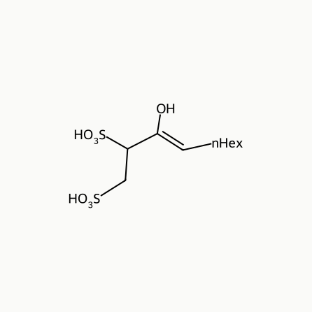 CCCCCCC=C(O)C(CS(=O)(=O)O)S(=O)(=O)O